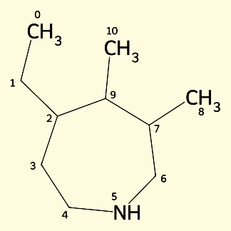 CCC1CCNCC(C)C1C